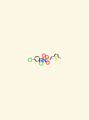 Cc1ccc(/C=C/S(=O)(=O)NC(=O)c2ccc(Cl)cc2Cl)s1